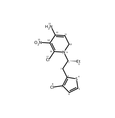 CC[C@H](Cc1sccc1Cl)N1CC=C(N)C([N+](=O)[O-])=C1Cl